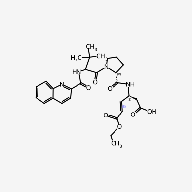 CCOC(=O)/C=C/[C@H](CC(=O)O)NC(=O)[C@H]1CCCN1C(=O)C(NC(=O)c1ccc2ccccc2n1)C(C)(C)C